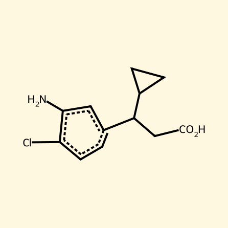 Nc1cc(C(CC(=O)O)C2CC2)ccc1Cl